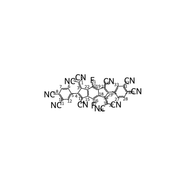 N#CC(C#N)=C1C(c2ccc(C#N)c(C#N)c2)=C(C#N)c2c(F)c3c(c(F)c21)C(C#N)=C(c1ccc(C#N)c(C#N)c1)C3=C(C#N)C#N